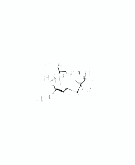 C=CC(C)(CCC=C(C)C)OC(C)=O.CC(O)C(=O)O